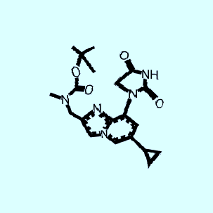 CN(Cc1cn2cc(C3CC3)cc(N3CC(=O)NC3=O)c2n1)C(=O)OC(C)(C)C